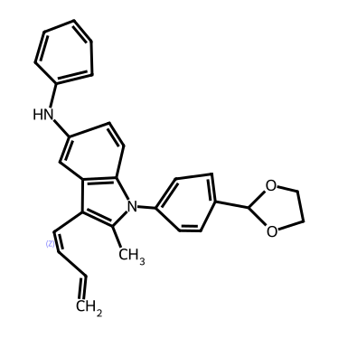 C=C/C=C\c1c(C)n(-c2ccc(C3OCCO3)cc2)c2ccc(Nc3ccccc3)cc12